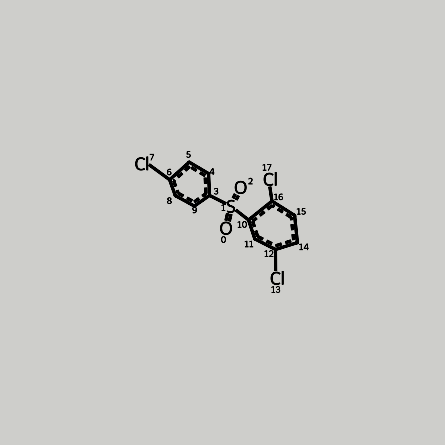 O=S(=O)(c1ccc(Cl)cc1)c1cc(Cl)ccc1Cl